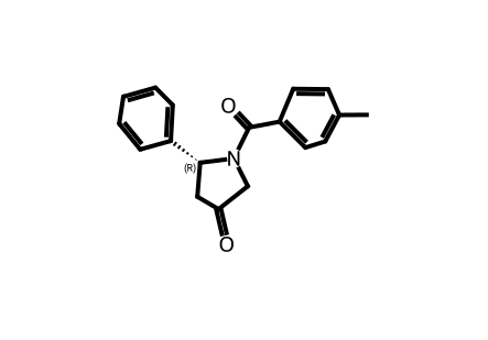 Cc1ccc(C(=O)N2CC(=O)C[C@@H]2c2ccccc2)cc1